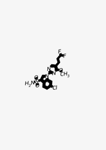 COc1nc(-n2cc(S(N)(=O)=O)c3ccc(Cl)cc32)ncc1CCC(F)F